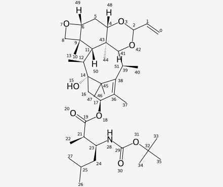 C=CC1O[C@H]2C[C@H]3OC[C@@]3(C)[C@H]3[C@H](C)[C@]4(O)C[C@H](OC(=O)[C@H](C)[C@H](CC(C)C)NC(=O)OC(C)(C)C)C(C)=C([C@H](C)[C@H](O1)[C@]23C)C4(C)C